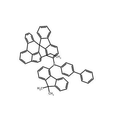 CCc1ccc2cccc3c2c1C1(c2ccccc2-c2ccc(N(c4ccc(-c5ccccc5)cc4)c4cccc5c4-c4ccccc4C5(C)C)cc21)c1ccccc1-3